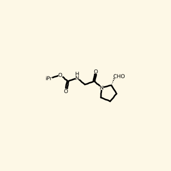 CC(C)OC(=O)NCC(=O)N1CCC[C@H]1C=O